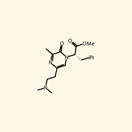 COC(=O)[C@H](CC(C)C)n1cc(CCN(C)C)nc(C)c1=O